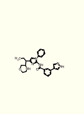 CCC(c1cn(-c2ccccc2)c(NC(=O)c2cccc(-c3cn[nH]c3)c2)n1)C1COCCN1